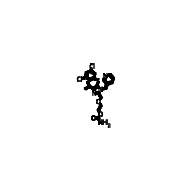 CC(C)c1nc(COCCOC(N)=O)n(Cc2cccnc2)c1Sc1cc(Cl)cc(Cl)c1